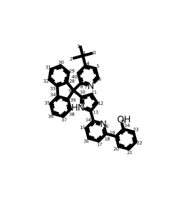 CC(C)(C)c1ccnc(C2(c3ccc(-c4cccc(-c5ccccc5O)n4)[nH]3)c3ccccc3-c3ccccc32)c1